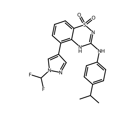 CC(C)c1ccc(NC2=NS(=O)(=O)c3cccc(-c4cnn(C(F)F)c4)c3N2)cc1